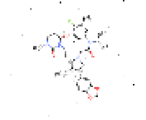 CCCC(CCC)N(C(=O)CN1C[C@H](c2ccc3c(c2)OCO3)[C@@H](C(=O)O)[C@@H]1CCN1C(=O)CCN(C)C1=O)c1ccc(F)c(C)c1